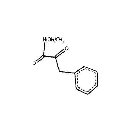 CN(O)C(=O)C(=O)Cc1ccccc1